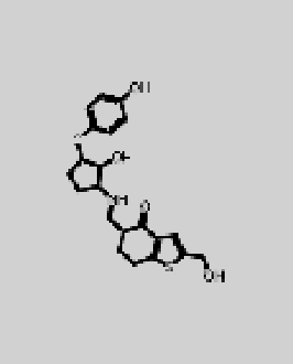 O=C1c2cc(CO)sc2CCC1CNC1CCC(Oc2ccc(O)cc2)C1O